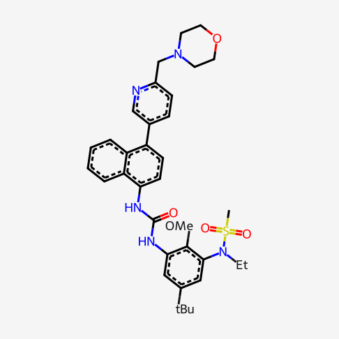 CCN(c1cc(C(C)(C)C)cc(NC(=O)Nc2ccc(-c3ccc(CN4CCOCC4)nc3)c3ccccc23)c1OC)S(C)(=O)=O